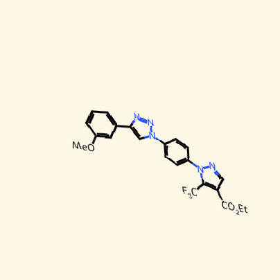 CCOC(=O)c1cnn(-c2ccc(-n3cc(-c4cccc(OC)c4)nn3)cc2)c1C(F)(F)F